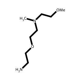 COCCN(C)CCOCCN